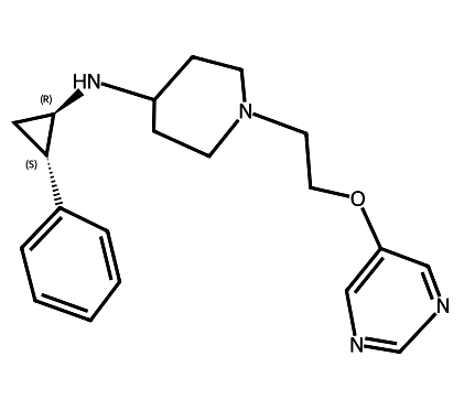 c1ccc([C@@H]2C[C@H]2NC2CCN(CCOc3cncnc3)CC2)cc1